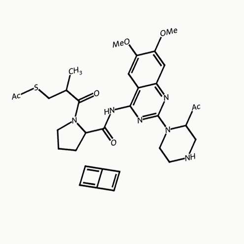 COc1cc2nc(N3CCNCC3C(C)=O)nc(NC(=O)C3CCCN3C(=O)C(C)CSC(C)=O)c2cc1OC.c1cc2ccc1-2